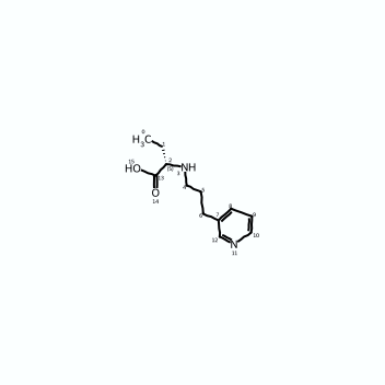 CC[C@H](NCCCc1cccnc1)C(=O)O